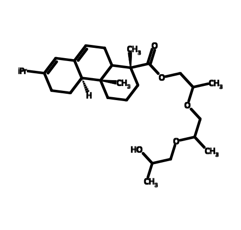 CC(O)COC(C)COC(C)COC(=O)[C@]1(C)CCC[C@@]2(C)C1CC=C1C=C(C(C)C)CC[C@@H]12